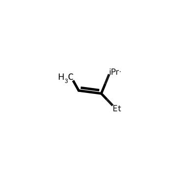 CC=C(CC)[C](C)C